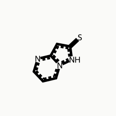 S=c1cc2ncccn2[nH]1